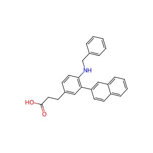 O=C(O)CCc1ccc(NCc2ccccc2)c(-c2ccc3ccccc3c2)c1